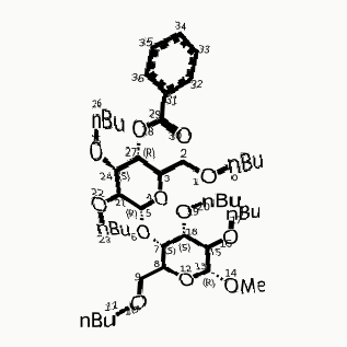 CCCCOCC1O[C@H](O[C@H]2C(COCCCC)O[C@@H](OC)C(OCCCC)[C@H]2OCCCC)C(OCCCC)[C@@H](OCCCC)[C@@H]1OC(=O)c1ccccc1